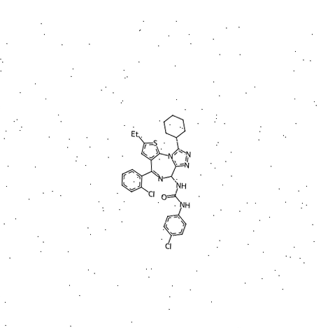 CCc1cc2c(s1)-n1c(C3CCCCC3)nnc1C(NC(=O)Nc1ccc(Cl)cc1)N=C2c1ccccc1Cl